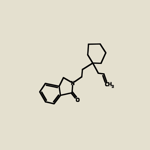 C=CCC1(CCN2Cc3ccccc3C2=O)CCCCC1